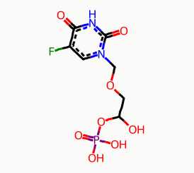 O=c1[nH]c(=O)n(COCC(O)OP(=O)(O)O)cc1F